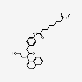 COC(=O)CCCCCCC(=O)Nc1ccc(CC(=O)N(CCO)c2cccc3ccccc23)cc1